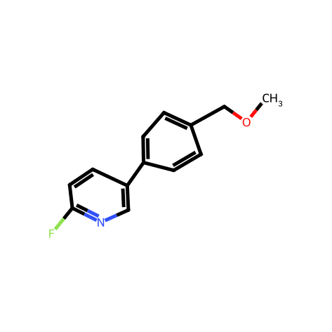 COCc1ccc(-c2ccc(F)nc2)cc1